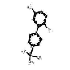 Cc1c[c]c(C)c(-c2ccc(C(C)(C)C)cc2)c1